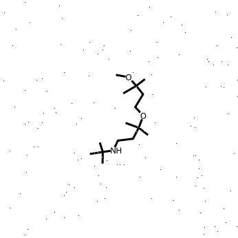 COC(C)(C)CCOC(C)(C)CCNC(C)(C)C